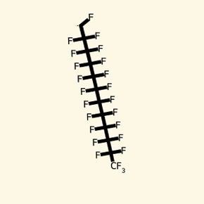 F[CH]C(F)(F)C(F)(F)C(F)(F)C(F)(F)C(F)(F)C(F)(F)C(F)(F)C(F)(F)C(F)(F)C(F)(F)C(F)(F)F